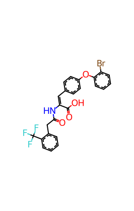 O=C(Cc1ccccc1C(F)(F)F)NC(=Cc1ccc(Oc2ccccc2Br)cc1)C(=O)O